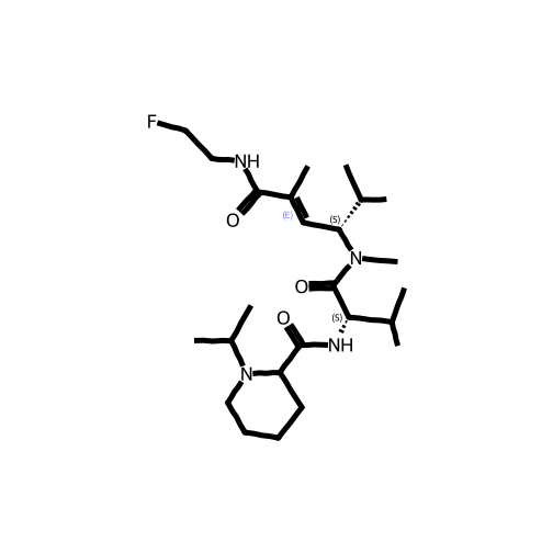 C/C(=C\[C@H](C(C)C)N(C)C(=O)[C@@H](NC(=O)C1CCCCN1C(C)C)C(C)C)C(=O)NCCF